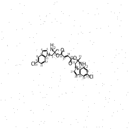 CC(N)(Cn1ccc2cc(Cl)ccc21)OC(=O)/C=C/C(=O)OC(C)(N)Cn1ccc2cc(Cl)ccc21